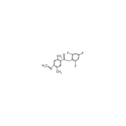 C=Nc1cc(C)c(C(=O)Cc2c(F)cc(F)cc2F)cc1C